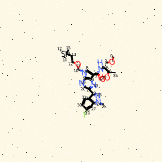 COC[C@@H](NC(=O)c1cn(COCC[Si](C)(C)C)c2ncc(-c3nn(C)c4cc(F)ccc34)nc12)[C@@H](C)O